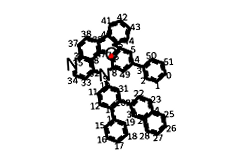 c1ccc(-c2cccc(N(c3ccc(-c4ccccc4)c(-c4ccc5ccccc5c4)c3)c3ccnc4ccc5c6ccccc6oc5c34)c2)cc1